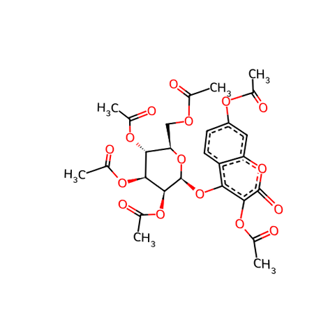 CC(=O)OC[C@H]1O[C@@H](Oc2c(OC(C)=O)c(=O)oc3cc(OC(C)=O)ccc23)[C@@H](OC(C)=O)[C@@H](OC(C)=O)[C@@H]1OC(C)=O